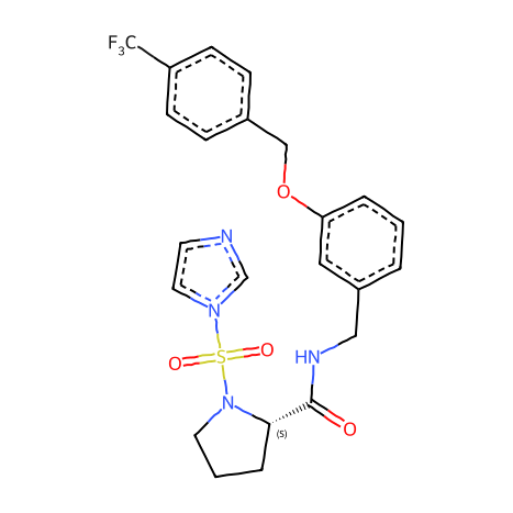 O=C(NCc1cccc(OCc2ccc(C(F)(F)F)cc2)c1)[C@@H]1CCCN1S(=O)(=O)n1ccnc1